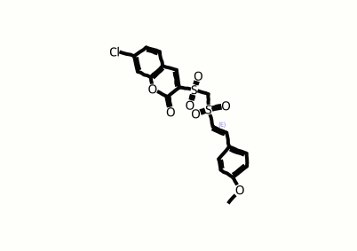 COc1ccc(/C=C/S(=O)(=O)CS(=O)(=O)c2cc3ccc(Cl)cc3oc2=O)cc1